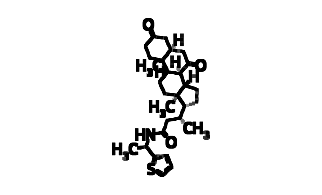 C[C@H](CC(=O)N[C@H](C)c1cccs1)[C@H]1CC[C@H]2[C@@H]3C(=O)C[C@@H]4CC(=O)CC[C@]4(C)[C@H]3CC[C@]12C